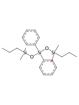 CCC[Si](C)(C)O[Si](O[Si](C)(C)CCC)(c1ccccc1)c1ccccc1